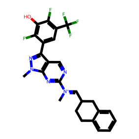 Cn1nc(-c2cc(C(F)(F)F)c(F)c(O)c2F)c2cnc(/[N+](C)=C/C3CCc4ccccc4C3)nc21